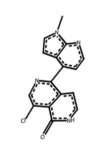 Cn1ccc2c(-c3ncc(Cl)c4c(=O)[nH]ccc34)ccnc21